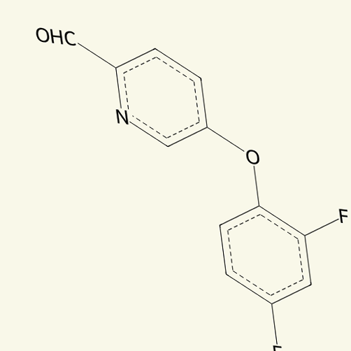 O=Cc1ccc(Oc2ccc(F)cc2F)cn1